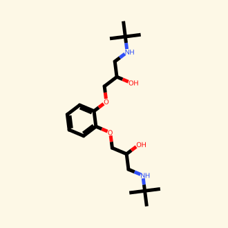 CC(C)(C)NCC(O)COc1ccccc1OCC(O)CNC(C)(C)C